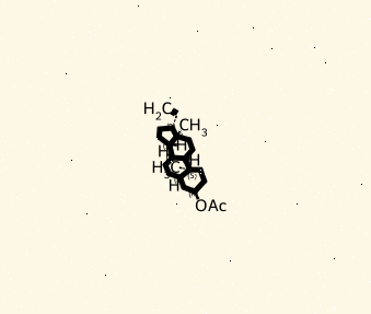 C=C[C@H]1CC[C@H]2[C@@H]3CC[C@H]4C[C@H](OC(C)=O)CC[C@]4(C)[C@H]3CC[C@]12C